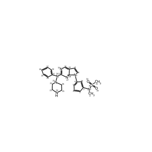 CN(c1cccc(-n2ccc3cnc(N(c4ccccc4)N4CCNCC4)nc32)c1)S(C)(=O)=O